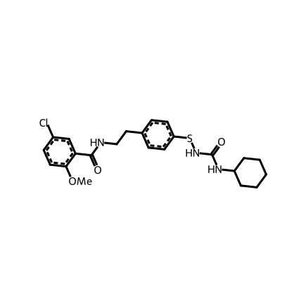 COc1ccc(Cl)cc1C(=O)NCCc1ccc(SNC(=O)NC2CCCCC2)cc1